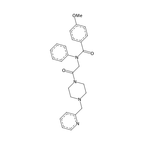 COc1ccc(C(=O)N(CC(=O)N2CCN(Cc3ccccn3)CC2)c2ccccc2)cc1